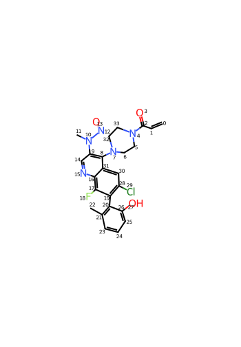 C=CC(=O)N1CCN(c2c(N(C)N=O)cnc3c(F)c(-c4c(C)cccc4O)c(Cl)cc23)CC1